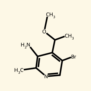 COC(C)c1c(Br)cnc(C)c1N